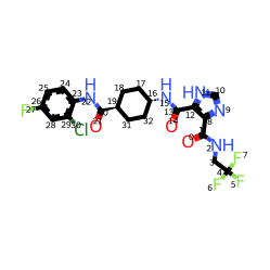 O=C(NCC(F)(F)F)c1nc[nH]c1C(=O)N[C@H]1CC[C@H](C(=O)Nc2ccc(F)cc2Cl)CC1